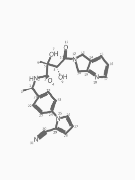 C[C@@H](NC(=O)[C@](C)(O)[C@@H](O)C(=O)N1Cc2cccnc2C1)c1ccc(-n2cccc2C#N)cc1